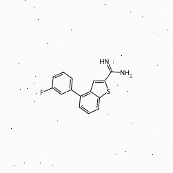 N=C(N)c1cc2c(-c3cccc(F)c3)cccc2s1